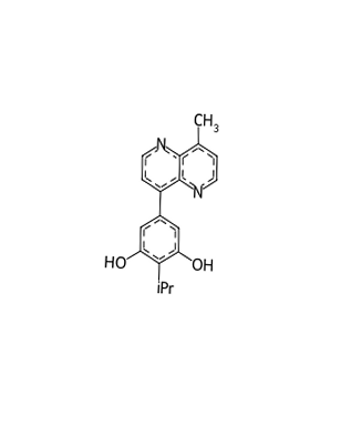 Cc1ccnc2c(-c3cc(O)c(C(C)C)c(O)c3)ccnc12